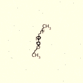 CCCCCCOc1ccc(-c2ccc(CCCC(F)CCC)cn2)cc1